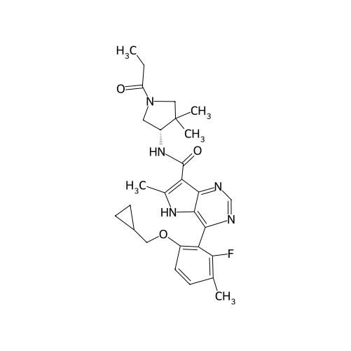 CCC(=O)N1C[C@@H](NC(=O)c2c(C)[nH]c3c(-c4c(OCC5CC5)ccc(C)c4F)ncnc23)C(C)(C)C1